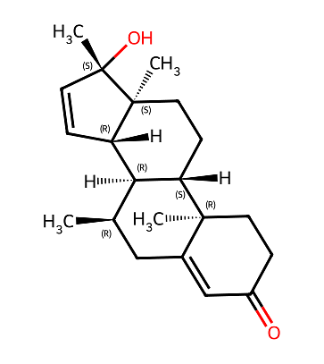 C[C@@H]1CC2=CC(=O)CC[C@]2(C)[C@H]2CC[C@@]3(C)[C@@H](C=C[C@]3(C)O)[C@H]12